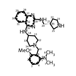 COc1cccc(N(C)C)c1CN1CCC(Nc2nc(NC[C@@H]3CCNC3)nc3ccccc23)CC1